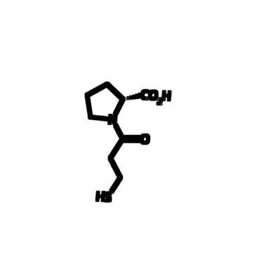 O=C(O)[C@H]1CCCN1C(=O)CCS